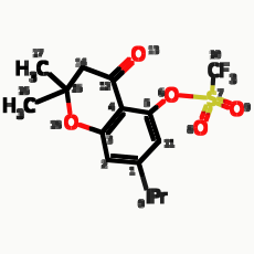 CC(C)c1cc2c(c(OS(=O)(=O)C(F)(F)F)c1)C(=O)CC(C)(C)O2